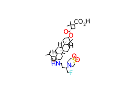 C=C(C)[C@@H]1CC[C@]2(NCC[C@H](CF)N3CCS(=O)(=O)CC3)CC[C@]3(C)[C@H](CC[C@@H]4[C@@]5(C)CC[C@H](OC(=O)[C@H]6C[C@@H](C(=O)O)C6(C)C)C(C)(C)[C@@H]5CC[C@]43C)[C@@H]12